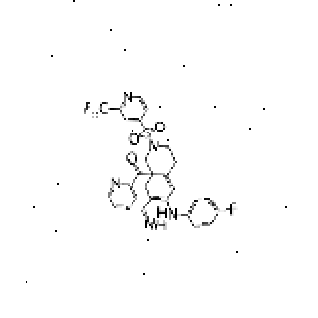 N=CC1=C(Nc2ccc(F)cc2)C=C2CCN(S(=O)(=O)c3ccnc(C(F)(F)F)c3)C[C@@]2(C(=O)c2ccccn2)C1